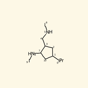 CC(C)C1CC(CNI)C(NI)C1